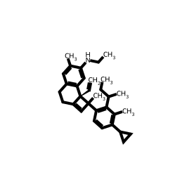 C=C[C@]12C(=CC1(C)c1ccc(C3CC3)c(C)c1C(C)CC)CCc1cc(C)c(NCC)cc12